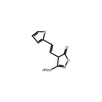 CCCCCC1=NOC(=O)C1/C=C/c1cccs1